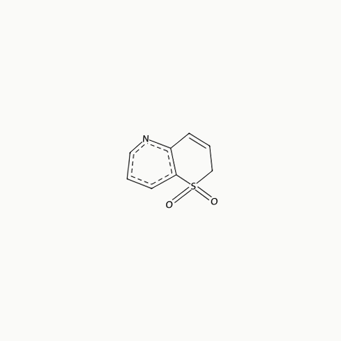 O=S1(=O)CC=Cc2ncccc21